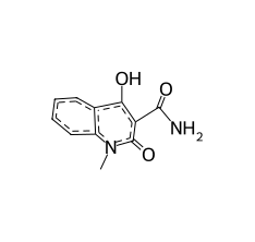 Cn1c(=O)c(C(N)=O)c(O)c2ccccc21